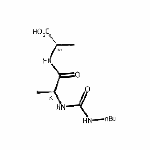 CCCCNC(=O)N[C@@H](C)C(=O)N[C@@H](C)C(=O)O